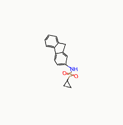 O=S(=O)(Nc1ccc2c(c1)Cc1ccccc1-2)C1CC1